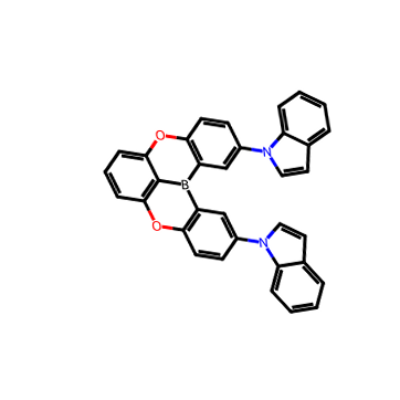 c1cc2c3c(c1)Oc1ccc(-n4ccc5ccccc54)cc1B3c1cc(-n3ccc4ccccc43)ccc1O2